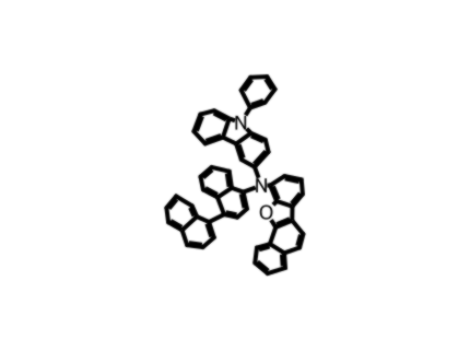 c1ccc(-n2c3ccccc3c3cc(N(c4ccc(-c5cccc6ccccc56)c5ccccc45)c4cccc5c4oc4c6ccccc6ccc54)ccc32)cc1